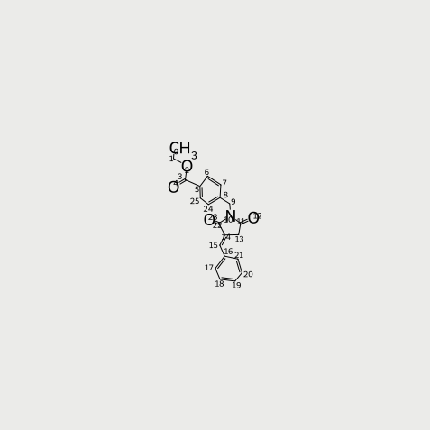 CCOC(=O)c1ccc(CN2C(=O)C/C(=C\c3ccccc3)C2=O)cc1